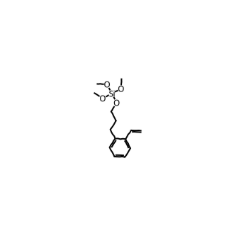 C=Cc1ccccc1CCCO[Si](OC)(OC)OC